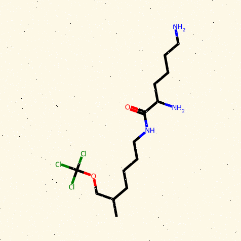 CC(CCCCNC(=O)C(N)CCCCN)COC(Cl)(Cl)Cl